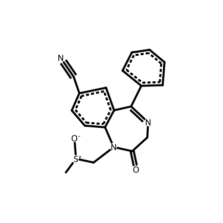 C[S+]([O-])CN1C(=O)CN=C(c2ccccc2)c2cc(C#N)ccc21